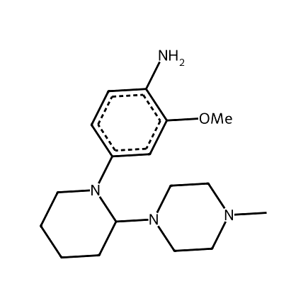 COc1cc(N2CCCCC2N2CCN(C)CC2)ccc1N